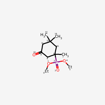 CCOP(=O)(OCC)C1(C)CC(=O)CC(C)(C)C1